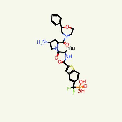 CC(C)(C)C(NC(=O)c1cc2cc(C(F)(F)P(=O)(O)O)ccc2s1)C(=O)N1C[C@@H](N)C[C@H]1C(=O)N1CCOC(c2ccccc2)C1